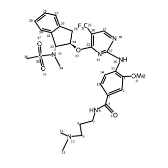 COc1cc(C(=O)NCCCN(C)C)ccc1Nc1ncc(C(F)(F)F)c(O[C@@H]2Cc3ccccc3[C@H]2N(C)S(C)(=O)=O)n1